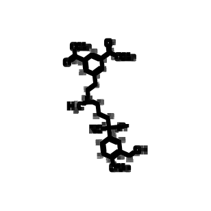 COC(=O)c1cc(CCN(C)CCCC(C#N)(c2ccc(OC)c(CO)c2)C(C)C)cc(C(=O)OC)c1